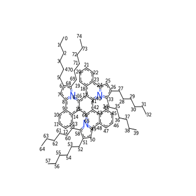 CCCCCCc1cc2c3ccccc3c3c(c4c5ccccc5c5cc(CCCCCC)c(CCCCCC)n5c4c4c5ccccc5c5cc(CCCCCC)c(CCCCCC)n5c34)n2c1CCCCCC